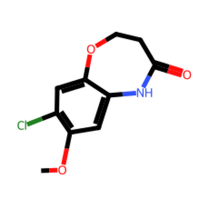 COc1cc2c(cc1Cl)OCCC(=O)N2